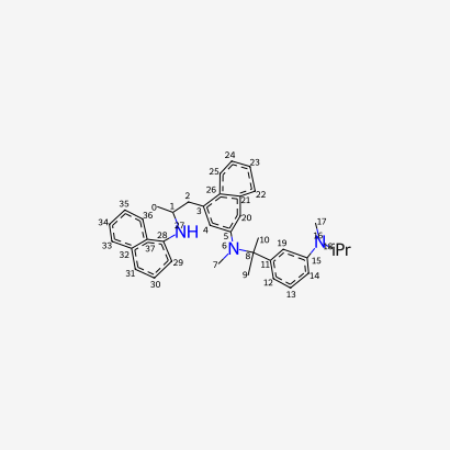 CC(Cc1cc(N(C)C(C)(C)c2cccc(N(C)C(C)C)c2)cc2ccccc12)Nc1cccc2ccccc12